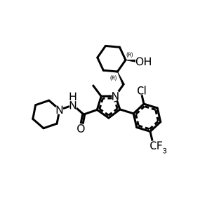 Cc1c(C(=O)NN2CCCCC2)cc(-c2cc(C(F)(F)F)ccc2Cl)n1C[C@H]1CCCC[C@H]1O